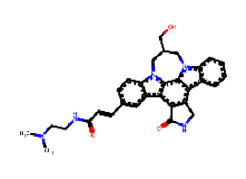 CN(C)CCNC(=O)/C=C/c1ccc2c(c1)c1c3c(c4c5ccccc5n5c4c1n2CC(CO)C5)CNC3=O